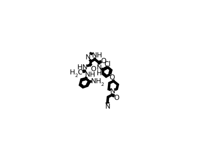 C=C(NC(=O)C1N=CNC1C(=O)Nc1ccc(OC2CCN(C(=O)CC#N)CC2)cc1Cl)Nc1ccccc1N